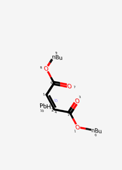 CCCCOC(=O)/C=C\C(=O)OCCCC.[PbH2]